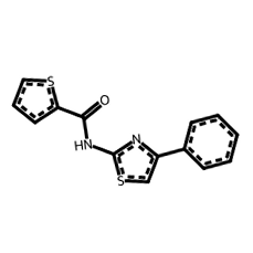 O=C(Nc1nc(-c2ccccc2)cs1)c1cccs1